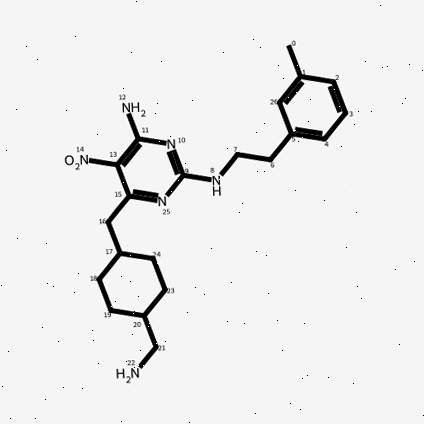 Cc1cccc(CCNc2nc(N)c([N+](=O)[O-])c(CC3CCC(CN)CC3)n2)c1